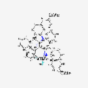 COc1ccc2c(c1)CCC1=C(c3ccccc3)/C(=C(\c3ccccc3OC)c3c(-c4ccccc4)c4c(n3B(F)F)-c3ccc(OC)cc3CC4)N=C12